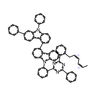 C/C=C\C=C/Cc1ccccc1-c1nc(-c2ccccc2)nc(-c2ccccc2-n2c3ccccc3c3c(-c4cccc5c4c4ccc(-c6ccccc6)cc4n5-c4ccccc4)cccc32)n1